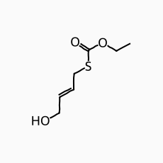 CCOC(=O)SCC=CCO